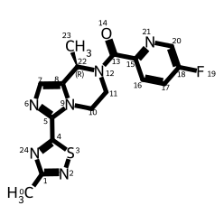 Cc1nsc(-c2ncc3n2CCN(C(=O)c2ccc(F)cn2)[C@@H]3C)n1